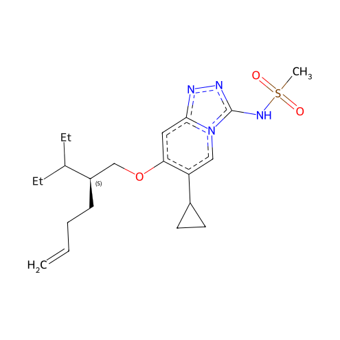 C=CCC[C@H](COc1cc2nnc(NS(C)(=O)=O)n2cc1C1CC1)C(CC)CC